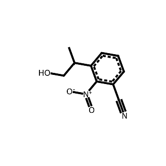 C[C](CO)c1cccc(C#N)c1[N+](=O)[O-]